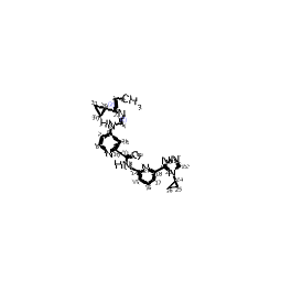 C/C=C(\N=C/Nc1ccnc(C(=O)Nc2cccc(-c3nncn3C3CC3)n2)c1)C1CC1